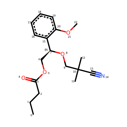 CCCC(=O)OC[C@H](OCC(C)(C)C#N)c1ccccc1OC